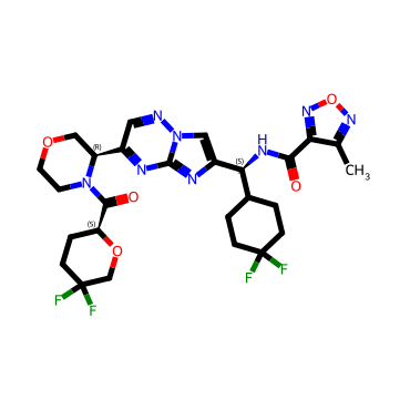 Cc1nonc1C(=O)N[C@H](c1cn2ncc([C@@H]3COCCN3C(=O)[C@@H]3CCC(F)(F)CO3)nc2n1)C1CCC(F)(F)CC1